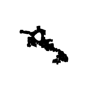 CC[C@H]1OC(=O)[C@H](C)[C@@H](O[C@H]2C[C@@](C)(OC)[C@@H](OC(=O)NCCOCCCc3cc4c5c(c3)c(=O)c(C(=O)O)cn5C(C)(C)OC4)[C@H](C)O2)[C@H](C)[C@@H](OC2O[C@H](C)C[C@H](N(C)C)[C@H]2O)[C@](C)(O)C[C@@H](C)/C(=N\OCOC)[C@H](C)[C@@H](O)[C@]1(C)O